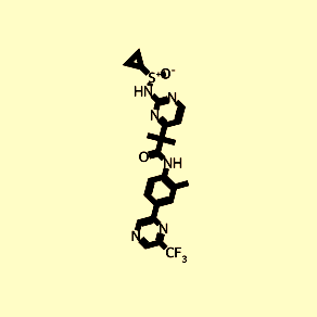 Cc1cc(-c2cncc(C(F)(F)F)n2)ccc1NC(=O)C(C)(C)c1ccnc(N[S+]([O-])C2CC2)n1